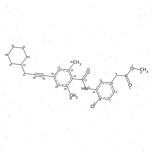 COC(=O)Cc1ccc(Cl)c(NC(=O)c2c(C)cc(C#CCC3CCCCC3)cc2C)c1